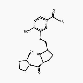 N#Cc1ccc(C(N)=O)cc1OC[C@H]1CC[C@@H](C(=O)N2CCC[C@H]2C#N)N1